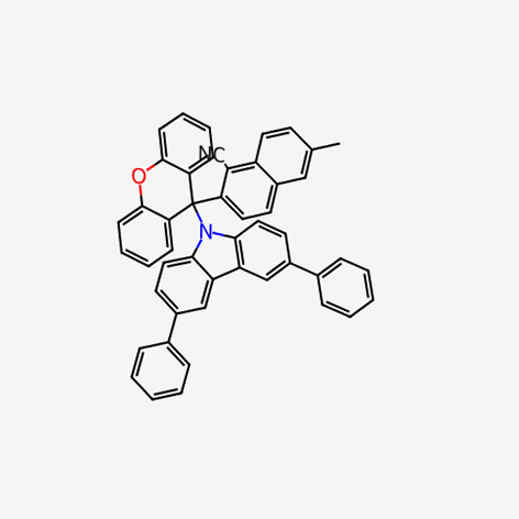 Cc1ccc2c(C#N)c(C3(n4c5ccc(-c6ccccc6)cc5c5cc(-c6ccccc6)ccc54)c4ccccc4Oc4ccccc43)ccc2c1